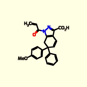 C=CC(=O)n1nc(C(=O)O)c2c1CC(c1ccccc1)(c1ccc(OC)cc1)C=C2